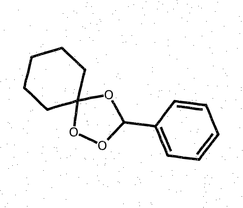 c1ccc(C2OOC3(CCCCC3)O2)cc1